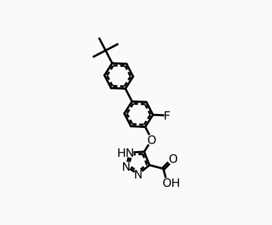 CC(C)(C)c1ccc(-c2ccc(Oc3[nH]nnc3C(=O)O)c(F)c2)cc1